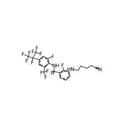 N#CCCCCNc1cccc(C(=O)Nc2c(I)cc(C(F)(C(F)(F)F)C(F)(F)F)cc2C(F)(F)F)c1F